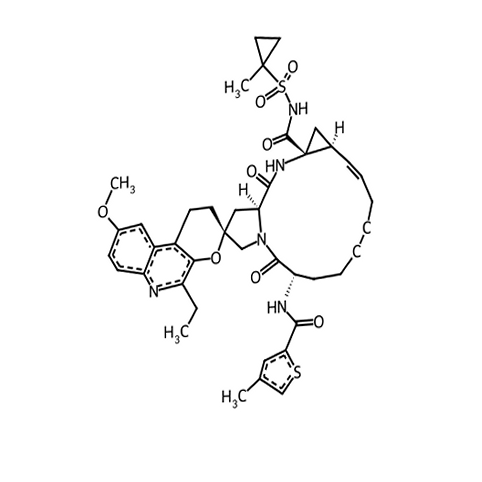 CCc1nc2ccc(OC)cc2c2c1O[C@]1(CC2)C[C@H]2C(=O)N[C@]3(C(=O)NS(=O)(=O)C4(C)CC4)C[C@H]3/C=C\CCCCC[C@H](NC(=O)c3cc(C)cs3)C(=O)N2C1